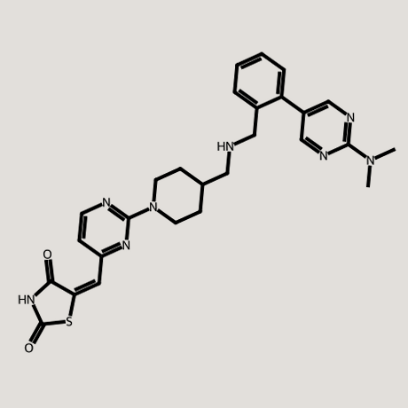 CN(C)c1ncc(-c2ccccc2CNCC2CCN(c3nccc(C=C4SC(=O)NC4=O)n3)CC2)cn1